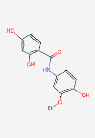 CCOc1cc(NC(=O)c2ccc(O)cc2O)ccc1O